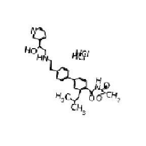 CC(C)Cc1cc(-c2ccc(CCNC[C@@H](O)c3cccnc3)cc2)ccc1C(=O)NS(C)(=O)=O.Cl.Cl